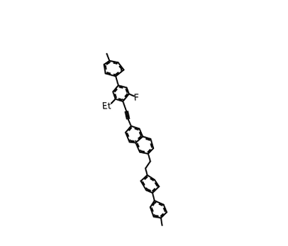 CCc1cc(-c2ccc(C)cc2)cc(F)c1C#Cc1ccc2cc(CCc3ccc(-c4ccc(C)cc4)cc3)ccc2c1